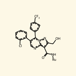 O=C([NH][Ru])c1c(CO)nn2c(-c3ccc(C(F)(F)F)cc3)c(-c3ccccc3Cl)cnc12